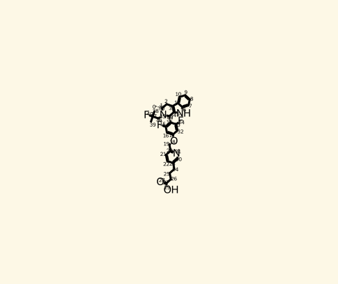 C[C@@H]1Cc2c([nH]c3ccccc23)[C@@H](c2c(F)cc(OCc3ccc(CCCC(=O)O)cn3)cc2F)N1CC(C)(C)F